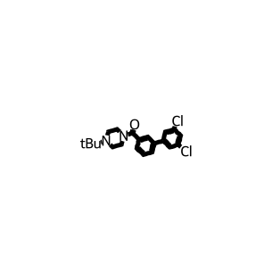 CC(C)(C)N1CCN(C(=O)c2cccc(-c3cc(Cl)cc(Cl)c3)c2)CC1